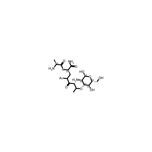 CC(=O)C(C[C@@H]([N]C(=O)[C@H](C)N)C(N)=O)C(=O)CC(C)O[C@@H]1[C@@H](N)[C@@H](O)O[C@H](CO)[C@H]1O